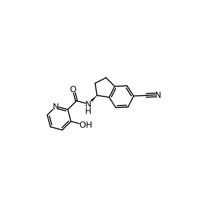 N#Cc1ccc2c(c1)CC[C@@H]2NC(=O)c1ncccc1O